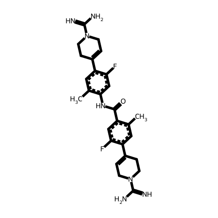 Cc1cc(C2=CCN(C(=N)N)CC2)c(F)cc1NC(=O)c1cc(F)c(C2=CCN(C(=N)N)CC2)cc1C